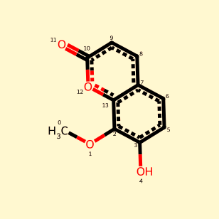 COc1c(O)ccc2ccc(=O)oc12